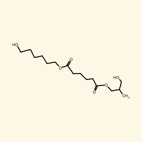 CC(CO)COC(=O)CCCCC(=O)OCCCCCCO